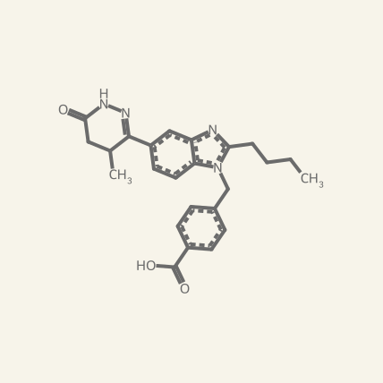 CCCCc1nc2cc(C3=NNC(=O)CC3C)ccc2n1Cc1ccc(C(=O)O)cc1